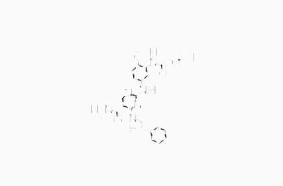 COCC(=O)Nc1cc(Nc2ncc(C(N)=O)c(NCCc3ccccc3)n2)ccc1Cl